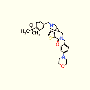 CC(C)(C)c1ccc(CN2CC3C(C2)C3CN(Cc2ccc(N3CCOCC3)cc2)C(=O)c2cccs2)cc1